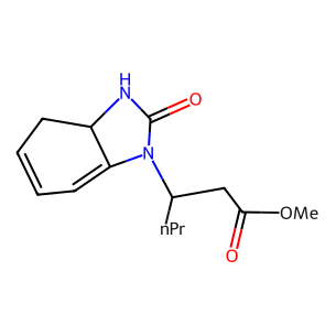 CCCC(CC(=O)OC)N1C(=O)NC2CC=CC=C21